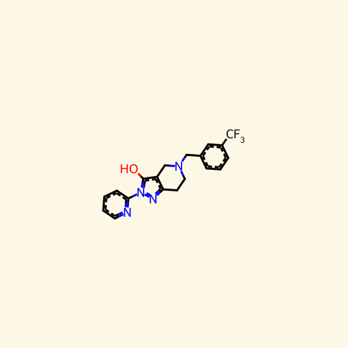 Oc1c2c(nn1-c1ccccn1)CCN(Cc1cccc(C(F)(F)F)c1)C2